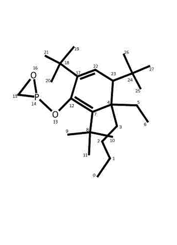 CCCCC1(CC)C(C(C)(C)C)=C(OP2CO2)C(C(C)(C)C)=CC1C(C)(C)C